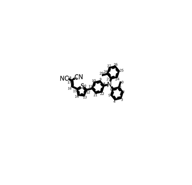 Cc1ccccc1N(c1ccc(-c2ccc(C=C(C#N)C#N)s2)cc1)c1ccccc1C